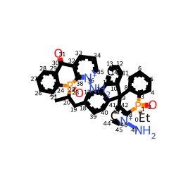 CCP1(=O)c2ccccc2C2(c3ccccc3-c3cc(CC(C)P4(=O)c5ccccc5C(=O)c5ccc[n+](N)c54)ccc32)c2ccc[n+](N)c21